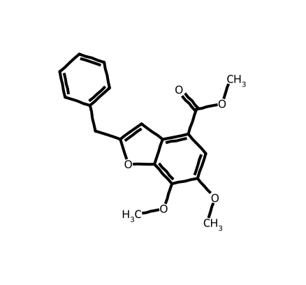 COC(=O)c1cc(OC)c(OC)c2oc(Cc3ccccc3)cc12